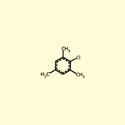 [CH2]c1cc(C)c(Cl)c(C)c1